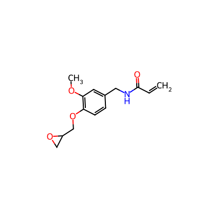 C=CC(=O)NCc1ccc(OCC2CO2)c(OC)c1